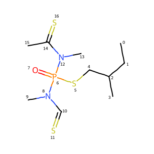 CCC(C)CSP(=O)(N(C)C=S)N(C)C(C)=S